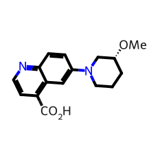 CO[C@@H]1CCCN(c2ccc3nccc(C(=O)O)c3c2)C1